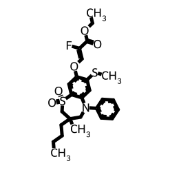 CCCCC1(C)CN(c2ccccc2)c2cc(SC)c(O/C=C(\F)C(=O)OCC)cc2S(=O)(=O)C1